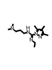 CC/N=C(/NCCCN(C)C)n1nc(C)c(C)c1C